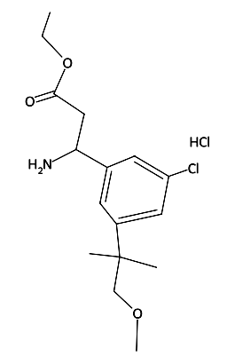 CCOC(=O)CC(N)c1cc(Cl)cc(C(C)(C)COC)c1.Cl